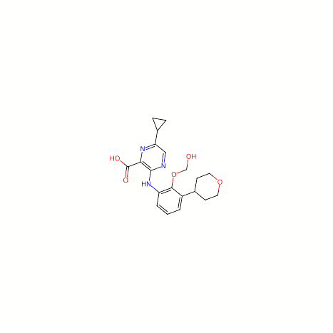 O=C(O)c1nc(C2CC2)cnc1Nc1cccc(C2CCOCC2)c1OCO